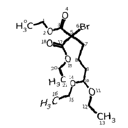 CCOC(=O)C(Br)(CCCC(OCC)OCC)C(=O)OCC